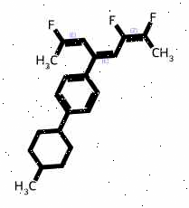 C\C(F)=C(F)/C=C(\C=C(/C)F)c1ccc(C2CCC(C)CC2)cc1